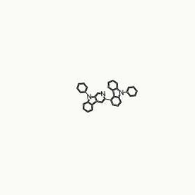 c1ccc(-n2c3ccccc3c3cc(-c4cccc5c4c4ccccc4n5-c4ccccc4)ncc32)cc1